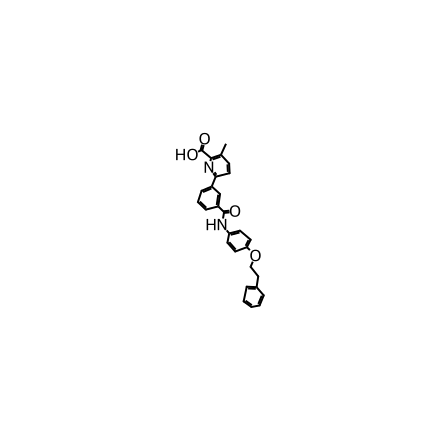 Cc1ccc(-c2cccc(C(=O)Nc3ccc(OCCc4ccccc4)cc3)c2)nc1C(=O)O